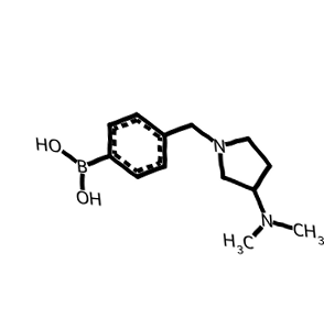 CN(C)C1CCN(Cc2ccc(B(O)O)cc2)C1